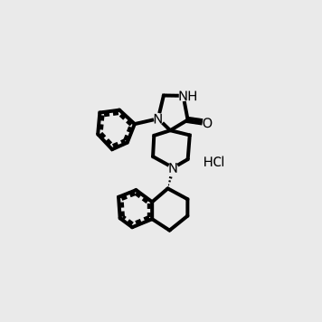 Cl.O=C1NCN(c2ccccc2)C12CCN([C@@H]1CCCc3ccccc31)CC2